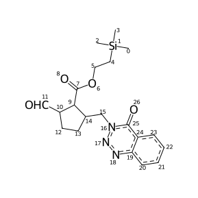 C[Si](C)(C)CCOC(=O)C1C(C=O)CCC1Cn1nnc2ccccc2c1=O